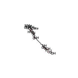 CNC(=O)COc1cc2cc(Nc3nc(N4CCC(C(=O)NCCCCCCCCCCCNC(=O)CO/N=C5\CCC6C7CCc8cc(O)ccc8C7CCC56C)CC4)ncc3Cl)cc(OC)c2n(C)c1=O